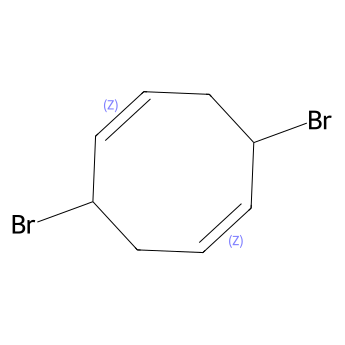 BrC1/C=C\CC(Br)/C=C\C1